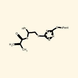 C=C(C)C(=O)SC(CCC)CSc1nnc(SCCCCC)s1